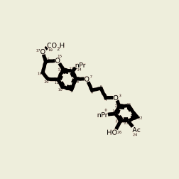 CCCc1c(OCCCOc2ccc3c(c2CCC)OC(OC(=O)O)CC3)ccc(C(C)=O)c1O